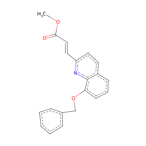 COC(=O)/C=C/c1ccc2cccc(OCc3ccccc3)c2n1